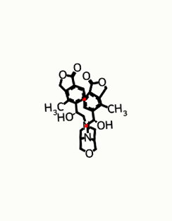 Cc1c([C@@H](O)CN2CC3COCC(C2)N3C[C@H](O)c2ccc3c(c2C)COC3=O)ccc2c1COC2=O